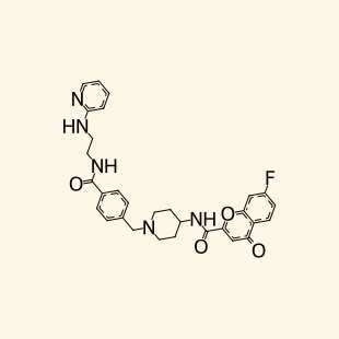 O=C(NCCNc1ccccn1)c1ccc(CN2CCC(NC(=O)c3cc(=O)c4ccc(F)cc4o3)CC2)cc1